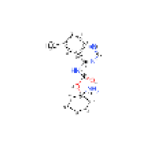 Cc1ccc2ncnc(NC(=O)OC3(N)CCCCC3)c2c1